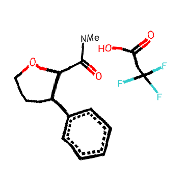 CNC(=O)C1OCCC1c1ccccc1.O=C(O)C(F)(F)F